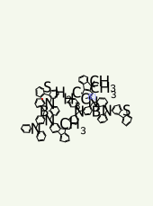 C=CC1=C(/C=C(\C)N2c3cc(N(c4ccccc4)c4ccc(CC5(C)c6ccccc6-c6ccc(N7c8cc(N(c9ccccc9)c9ccccc9)ccc8B8c9ccccc9N(c9cccc%10sc%11ccccc%11c9%10)c9cccc7c98)cc65)cc4)ccc3B3c4ccccc4N(c4ccc5sc6ccccc6c5c4)c4cccc2c43)C(C)(C)c2ccccc21